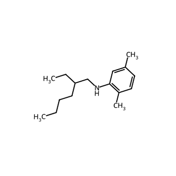 CCCCC(CC)CNc1cc(C)ccc1C